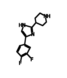 Fc1ccc(-c2c[nH]c(C3CCNCC3)n2)cc1F